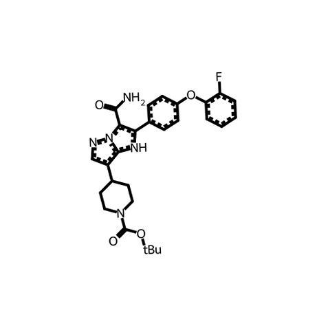 CC(C)(C)OC(=O)N1CCC(c2cnn3c(C(N)=O)c(-c4ccc(Oc5ccccc5F)cc4)[nH]c23)CC1